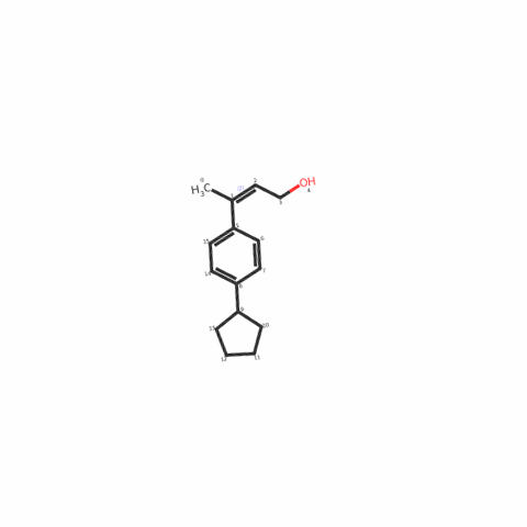 C/C(=C/CO)c1ccc(C2CCCC2)cc1